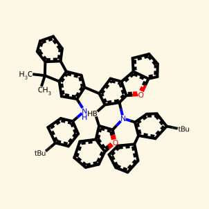 CC(C)(C)c1ccc(Nc2cc3c(cc2-c2cc4c(oc5ccccc54)c4c2Bc2c(oc5ccccc25)N4c2ccc(C(C)(C)C)cc2-c2ccccc2)-c2ccccc2C3(C)C)cc1